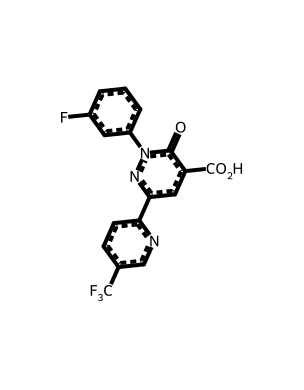 O=C(O)c1cc(-c2ccc(C(F)(F)F)cn2)nn(-c2cccc(F)c2)c1=O